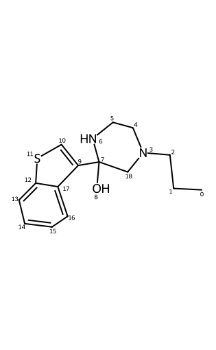 CCCN1CCNC(O)(c2csc3ccccc23)C1